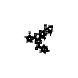 CC[C@H](Nc1cc(C)c(-c2sc(C(=O)N3CC4CC(C3)O4)nc2C(=O)N2CCC[C@@H]2C)cn1)C(F)(F)F